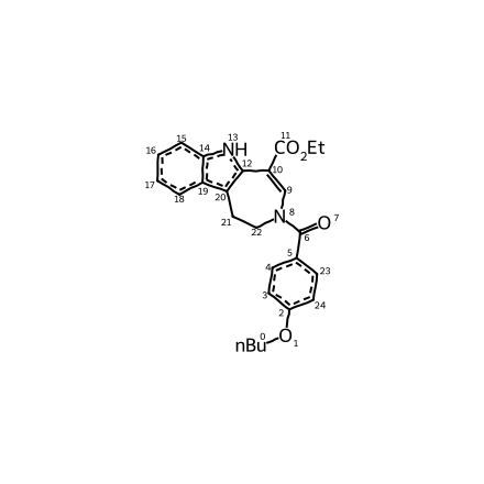 CCCCOc1ccc(C(=O)N2C=C(C(=O)OCC)c3[nH]c4ccccc4c3CC2)cc1